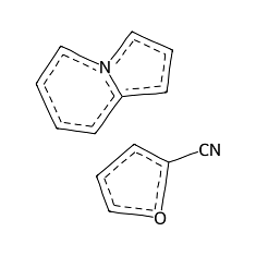 N#Cc1ccco1.c1ccn2cccc2c1